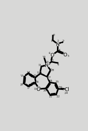 CCN(C)C(=O)OC(C)[N+]1(C)CC2c3ccccc3Oc3ccc(Cl)cc3C2C1